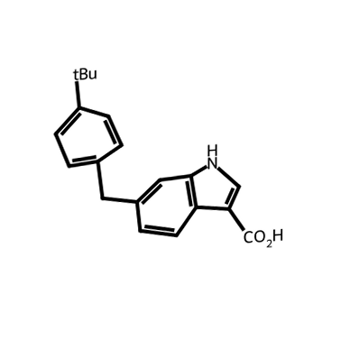 CC(C)(C)c1ccc(Cc2ccc3c(C(=O)O)c[nH]c3c2)cc1